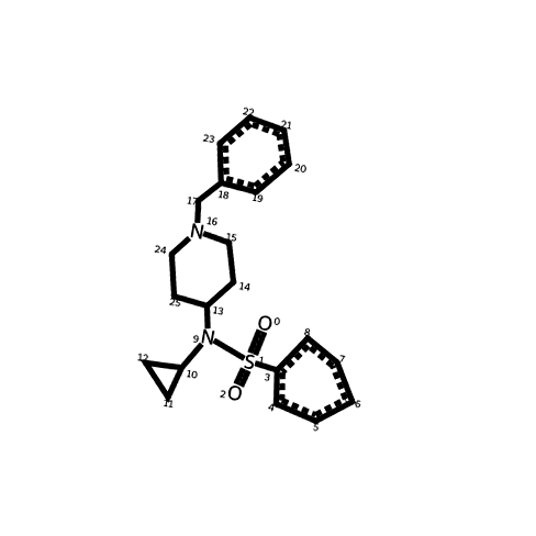 O=S(=O)(c1ccccc1)N(C1CC1)C1CCN(Cc2ccccc2)CC1